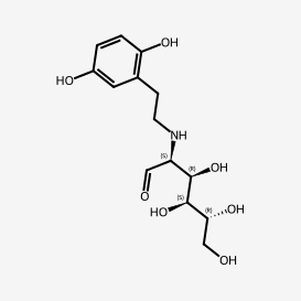 O=C[C@@H](NCCc1cc(O)ccc1O)[C@@H](O)[C@H](O)[C@H](O)CO